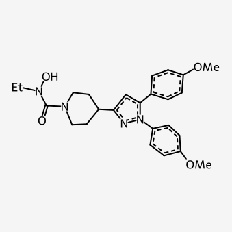 CCN(O)C(=O)N1CCC(c2cc(-c3ccc(OC)cc3)n(-c3ccc(OC)cc3)n2)CC1